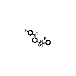 O=C(c1ccc(F)cc1)N1CCC[C@H](c2nc(-c3ccccc3F)no2)C1